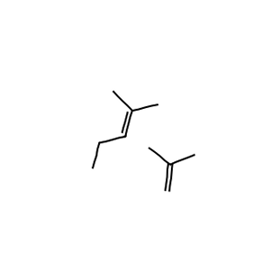 C=C(C)C.CCC=C(C)C